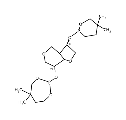 CC1(C)CCP(O[C@H]2COC3C2COC[C@H]3OP2OCCC(C)(C)CO2)OC1